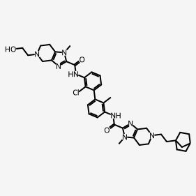 Cc1c(NC(=O)c2nc3c(n2C)CCN(CCC24CCC(CC2)C4)C3)cccc1-c1cccc(NC(=O)c2nc3c(n2C)CCN(CCO)C3)c1Cl